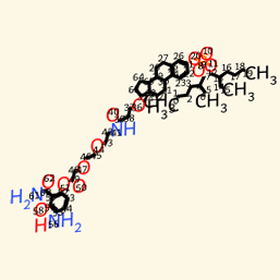 CCCCC(CC)COP(=O)(OCC(CC)CCCC)Oc1ccc2c(c1)CCC1C2CCC2(C)C(OCCC(=O)NCCOCCOCC(=O)Oc3ccc(N)c(O)c3C(N)=O)CCC12